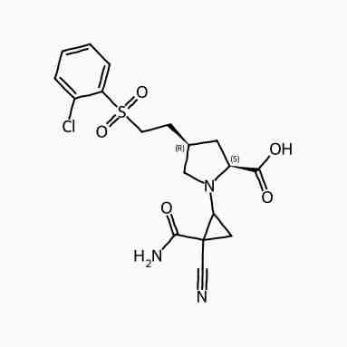 N#CC1(C(N)=O)CC1N1C[C@@H](CCS(=O)(=O)c2ccccc2Cl)C[C@H]1C(=O)O